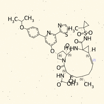 CC(C)Oc1ccc(-c2cc(O[C@@H]3C[C@H]4C(=O)NC5(C(=O)NS(=O)(=O)C6(C)CC6)C[C@H]5/C=C\CC[C@H](C)C[C@@H](C)[C@H](NC(=O)O)C(=O)N4C3)cc(-c3nccs3)n2)cc1